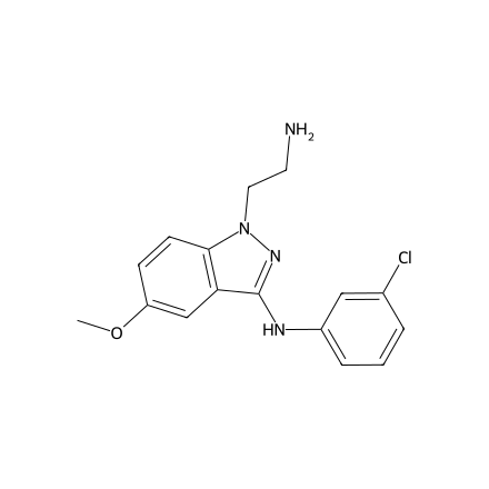 COc1ccc2c(c1)c(Nc1cccc(Cl)c1)nn2CCN